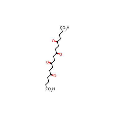 O=C(O)CCCC(=O)CCC(=O)CCC(=O)CCC(=O)CCCC(=O)O